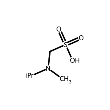 CC(C)N(C)CS(=O)(=O)O